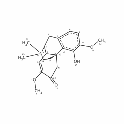 COC1=CC2C3Cc4ccc(OC)c(O)c4[C@]2(CC[N+]3(C)C)CC1=O